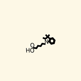 CC1N(CCCCCC(=O)O)c2ccccc2C1(C)C